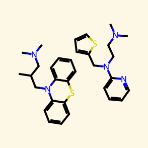 CC(CN(C)C)CN1c2ccccc2Sc2ccccc21.CN(C)CCN(Cc1cccs1)c1ccccn1